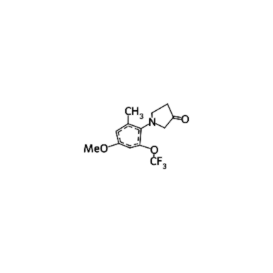 COc1cc(C)c(N2CCC(=O)C2)c(OC(F)(F)F)c1